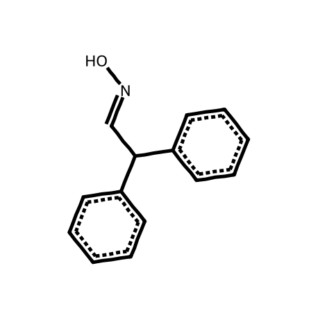 O/N=C/C(c1ccccc1)c1ccccc1